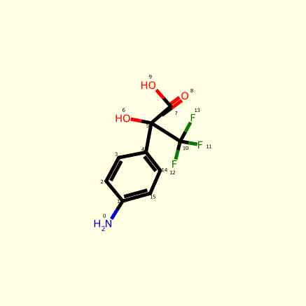 Nc1ccc(C(O)(C(=O)O)C(F)(F)F)cc1